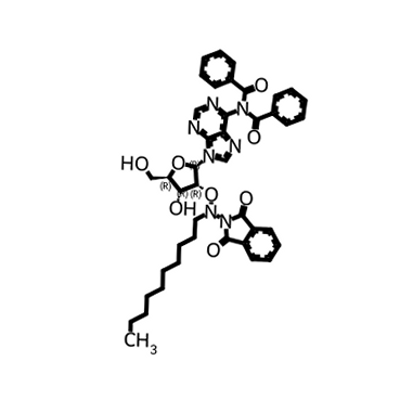 CCCCCCCCCCN(O[C@@H]1[C@H](O)[C@@H](CO)O[C@H]1n1cnc2c(N(C(=O)c3ccccc3)C(=O)c3ccccc3)ncnc21)N1C(=O)c2ccccc2C1=O